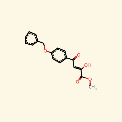 COC(=O)/C(O)=C/C(=O)c1ccc(OCc2ccccc2)cc1